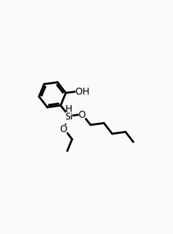 CCCCCO[SiH](OCC)c1ccccc1O